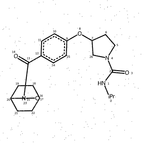 CC(C)NC(=O)N1CCC(Oc2ccc(C(=O)N3CC4CCC(CC4)C3)cc2)C1